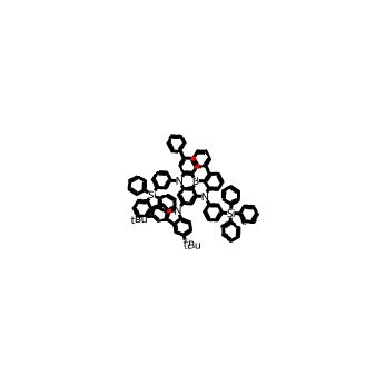 CC(C)(C)c1ccc2c(c1)c1cc(C(C)(C)C)ccc1n2-c1cc2c3c(c1)N(c1cccc([Si](c4ccccc4)(c4ccccc4)c4ccccc4)c1)c1cccc(-c4ccccc4)c1B3c1ccc(-c3ccccc3)cc1N2c1cccc([Si](c2ccccc2)(c2ccccc2)c2ccccc2)c1